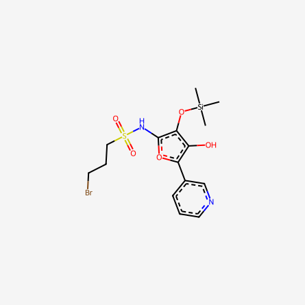 C[Si](C)(C)Oc1c(NS(=O)(=O)CCCBr)oc(-c2cccnc2)c1O